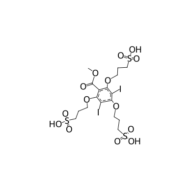 COC(=O)c1c(OCCCS(=O)(=O)O)c(I)c(OCCCS(=O)(=O)O)c(I)c1OCCCS(=O)(=O)O